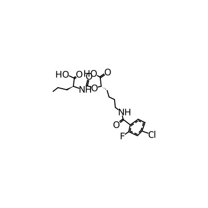 CCC[C@H](NC(=O)O[C@@H](CCCCNC(=O)c1ccc(Cl)cc1F)C(=O)O)C(=O)O